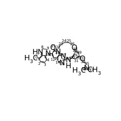 Cc1cccc2c1NCCN2c1cc2cnc3nc2n(c1=O)CCCCCOc1cc(cc(OCCN(C)C)c1)N3